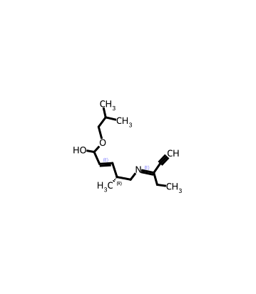 C#C/C(CC)=N/C[C@H](C)/C=C/C(O)OCC(C)C